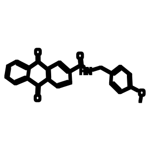 COc1ccc(CNC(=O)c2ccc3c(c2)C(=O)c2ccccc2C3=O)cc1